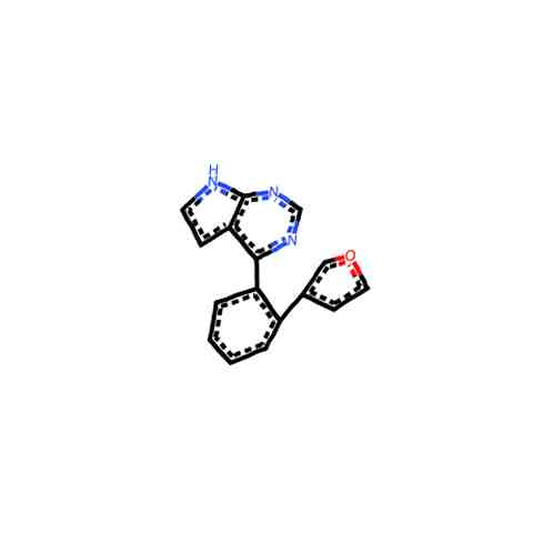 c1ccc(-c2ncnc3[nH]ccc23)c(-c2ccoc2)c1